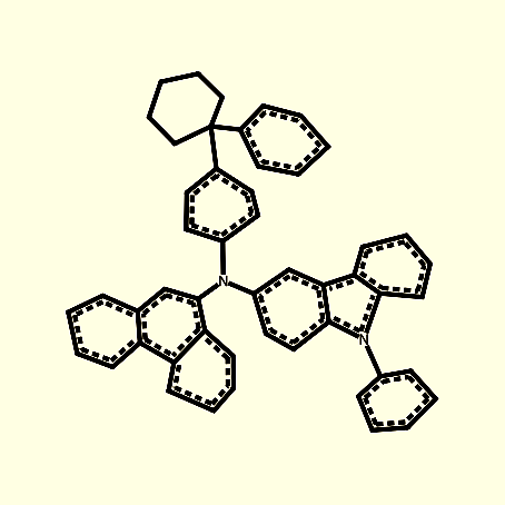 c1ccc(-n2c3ccccc3c3cc(N(c4ccc(C5(c6ccccc6)CCCCC5)cc4)c4cc5ccccc5c5ccccc45)ccc32)cc1